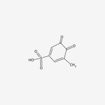 CC1=CC(S(=O)(=O)O)=CC(=O)C1=O